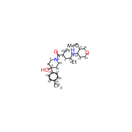 CCC(CC(C(=O)N1CCC(O)(c2ccc(C(F)(F)F)cc2)CC1)C(C)C)NC1CCOCC1OC